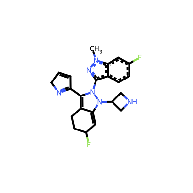 Cn1nc(N2C(C3=NCC=C3)=C3CCC(F)C=C3N2C2CNC2)c2ccc(F)cc21